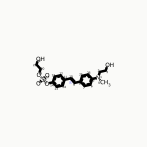 CN(CCO)c1ccc(/C=C/c2ccc(OS(=O)(=O)OCCO)cc2)cc1